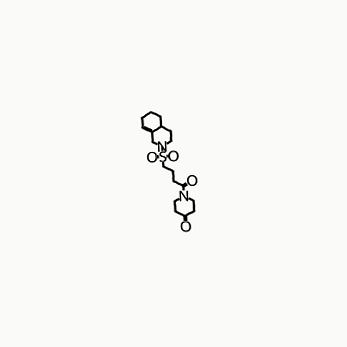 O=C1CCN(C(=O)CCCS(=O)(=O)N2CCC3CCCC=C3C2)CC1